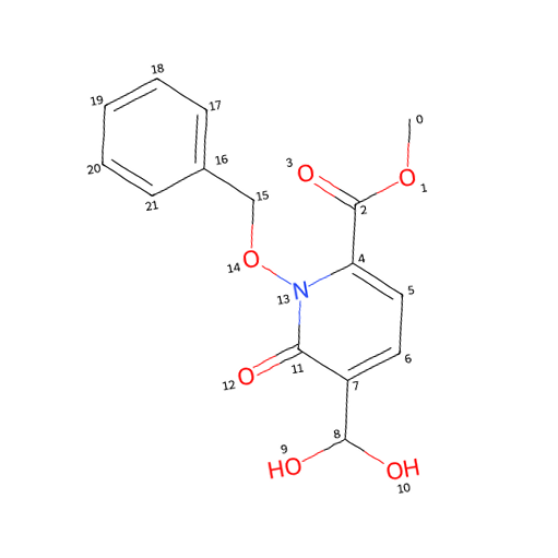 COC(=O)c1ccc(C(O)O)c(=O)n1OCc1ccccc1